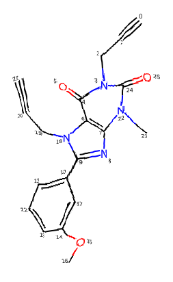 C#CCn1c(=O)c2c(nc(-c3cccc(OC)c3)n2CC#C)n(C)c1=O